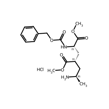 COC(=O)[C@H](C[C@H](NC(=O)OCc1ccccc1)C(=O)OC)C[C@@H](C)N.Cl